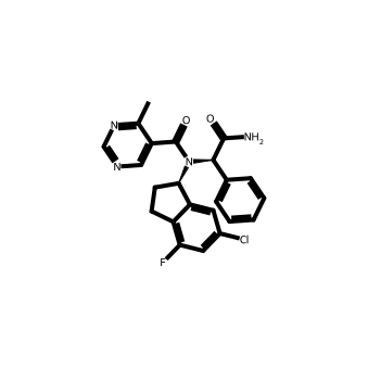 Cc1ncncc1C(=O)N([C@@H]1CCc2c(F)cc(Cl)cc21)[C@@H](C(N)=O)c1ccccc1